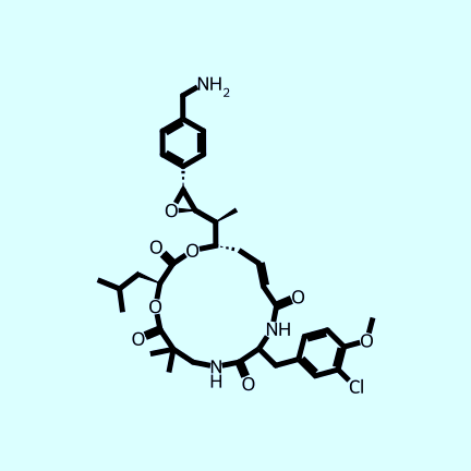 COc1ccc(CC2NC(=O)/C=C/C[C@@H]([C@H](C)[C@H]3O[C@@H]3c3ccc(CN)cc3)OC(=O)[C@H](CC(C)C)OC(=O)C(C)(C)CNC2=O)cc1Cl